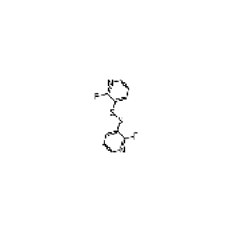 Fc1ncccc1SSc1cccnc1F